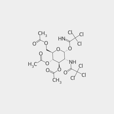 CC(=O)OC[C@H]1O[C@H](OC(=N)C(Cl)(Cl)Cl)[C@H](NC(=O)C(Cl)(Cl)Cl)[C@@H](OC(C)=O)[C@@H]1OC(C)=O